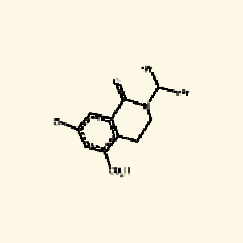 CCCC(CCC)N1CCc2c(C(=O)O)cc(Cl)cc2C1=O